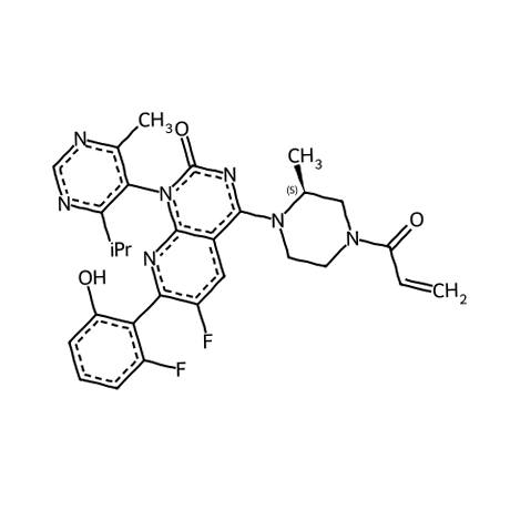 C=CC(=O)N1CCN(c2nc(=O)n(-c3c(C)ncnc3C(C)C)c3nc(-c4c(O)cccc4F)c(F)cc23)[C@@H](C)C1